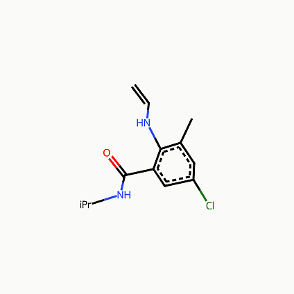 C=CNc1c(C)cc(Cl)cc1C(=O)NC(C)C